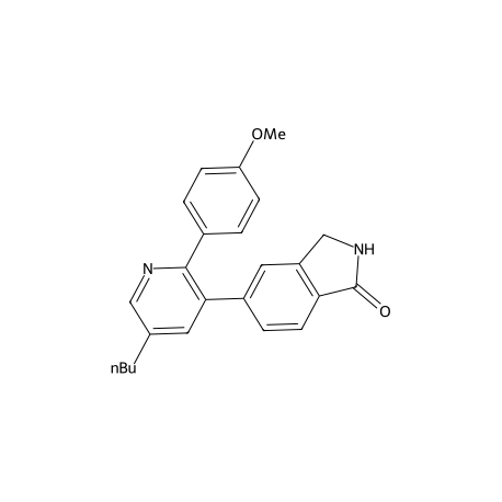 CCCCc1cnc(-c2ccc(OC)cc2)c(-c2ccc3c(c2)CNC3=O)c1